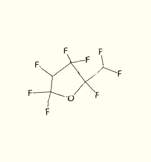 FC1C(F)(F)OC(F)(C(F)F)C1(F)F